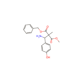 COC(=O)C(C)(C(=O)OCc1ccccc1)C(N)c1ccc(O)cc1